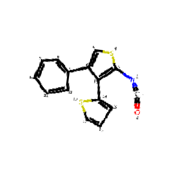 O=C=Nc1scc(-c2ccccc2)c1-c1cccs1